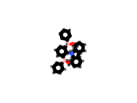 OB(c1ccccc1)c1cccc(B(O)c2ccccc2)c1-n1c2ccccc2c2ccccc21